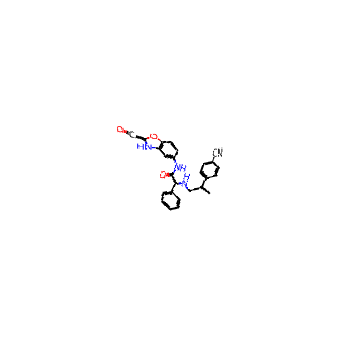 CC(CNC(C(=O)Nc1ccc2c(c1)NC(=C=O)O2)c1ccccc1)c1ccc(C#N)cc1